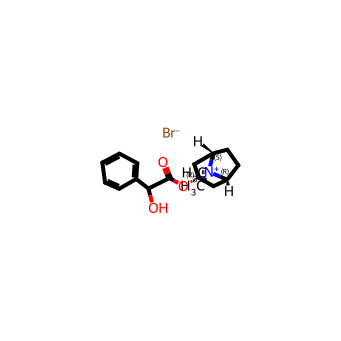 C[N+]1(C)[C@@H]2CC[C@H]1C[C@@H](OC(=O)C(O)c1ccccc1)C2.[Br-]